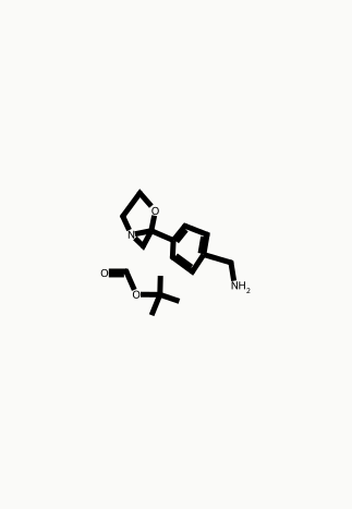 CC(C)(C)OC=O.NCc1ccc(C23CN2CCO3)cc1